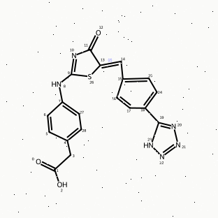 O=C(O)Cc1ccc(NC2=NC(=O)/C(=C/c3ccc(-c4nnn[nH]4)cc3)S2)cc1